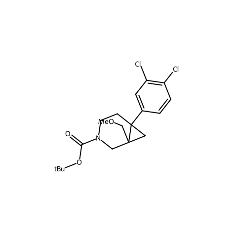 COCC12CN(C(=O)OC(C)(C)C)CCC1(c1ccc(Cl)c(Cl)c1)C2